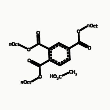 CC(=O)O.CCCCCCCCOC(=O)c1ccc(C(=O)OCCCCCCCC)c(C(=O)OCCCCCCCC)c1